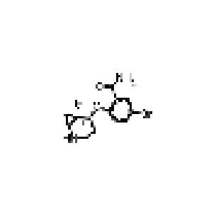 NC(=O)c1cc(Br)ccc1OC1CCNC2C[C@H]21